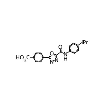 CC(C)c1ccc(NC(=O)c2nnc(-c3ccc(C(=O)O)cc3)o2)cc1